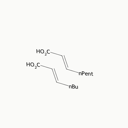 CCCCC=CC(=O)O.CCCCCC=CC(=O)O